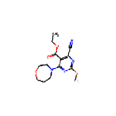 CCOC(=O)c1c(C#N)nc(SC)nc1N1CCCOCC1